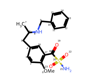 COc1ccc(CC(C)NCc2ccccc2)cc1C(=O)S(N)(=O)=O